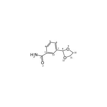 NC(=O)c1cccc(C2OCCO2)c1